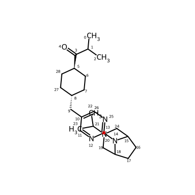 CC(C)C(=O)[C@H]1CC[C@H](Cc2cnc(N3C4CCC3CN(C(C)C)C4)nc2)CC1